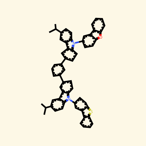 CC(C)c1ccc2c(c1)c1cc(-c3cccc(-c4ccc5c(c4)c4cc(C(C)C)ccc4n5-c4ccc5sc6ccccc6c5c4)c3)ccc1n2-c1ccc2oc3ccccc3c2c1